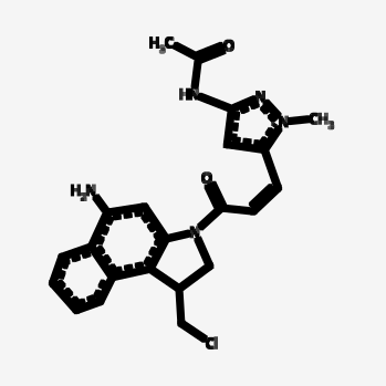 CC(=O)Nc1cc(/C=C\C(=O)N2CC(CCl)c3c2cc(N)c2ccccc32)n(C)n1